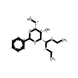 CCSC(SCC)[C@@H]1OC(c2ccccc2)O[C@H](CO)[C@@H]1O